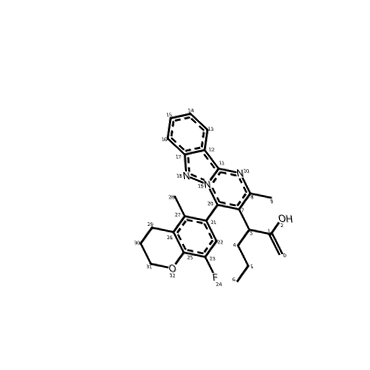 C=C(O)C(CCC)c1c(C)nc2c3ccccc3nn2c1-c1cc(F)c2c(c1C)CCCO2